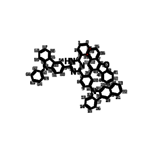 c1ccc(C2N=C(c3ccc(-n4c5ccccc5c5cc6ccccc6cc54)cc3-c3cc4ccccc4c4oc5ccccc5c34)N=C(c3ccc4c(c3)c3ccccc3n4-c3ccccc3)N2)cc1